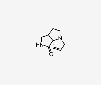 O=C1NCC2CCN3CC=CC123